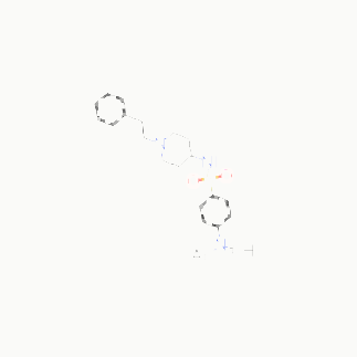 CC(=O)N(C)c1ccc(S(=O)(=O)NC2CCN(CCc3ccccc3)CC2)cc1